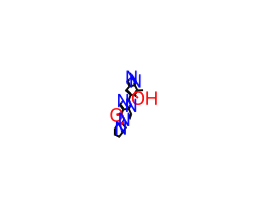 Cc1c(O)c(-c2ncc3c(=O)n(C4CC5CCC(C4)N5C)ccc3n2)cc2cn(C)nc12